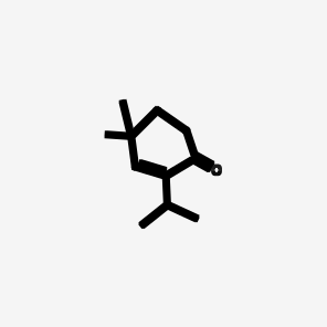 CC(C)C1=CC(C)(C)CCC1=O